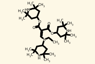 CCN(C=C(C(=O)OC1CC(C)(C)NC(C)(C)C1)C(=O)OC1CC(C)(C)NC(C)(C)C1)C1CC(C)(C)NC(C)(C)C1